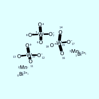 [Bi+3].[Bi+3].[Mn].[Mn].[O]=[W](=[O])([O-])[O-].[O]=[W](=[O])([O-])[O-].[O]=[W](=[O])([O-])[O-]